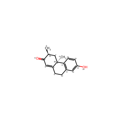 C[C@H]1C[C@]2(C)C(=CC1=O)CCc1cc(O)ccc12